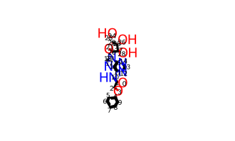 O=C(COc1ccccc1)Nc1ncnc2c1ncn2[C@@H]1O[C@H](CO)[C@@H](O)[C@H]1O